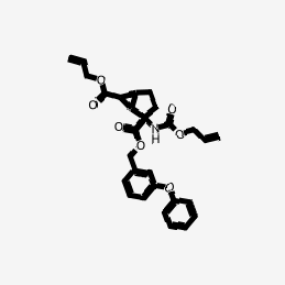 C=CCOC(=O)NC1(C(=O)OCc2cccc(Oc3ccccc3)c2)CCC2C(C(=O)OCC=C)C21